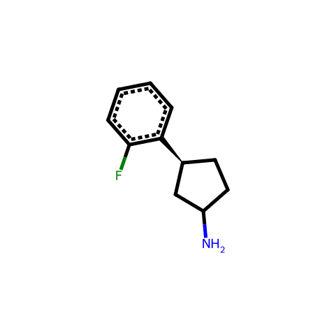 NC1CC[C@H](c2ccccc2F)C1